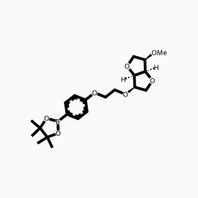 CO[C@@H]1CO[C@H]2[C@@H]1OC[C@H]2OCCOc1ccc(B2OC(C)(C)C(C)(C)O2)cc1